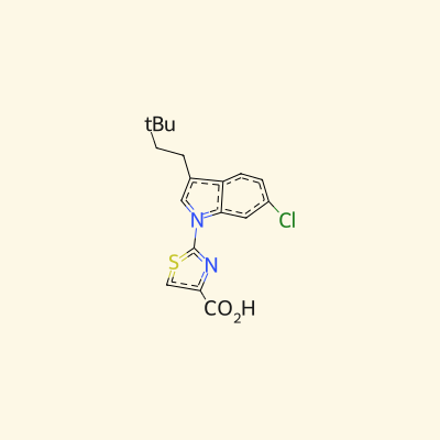 CC(C)(C)CCc1cn(-c2nc(C(=O)O)cs2)c2cc(Cl)ccc12